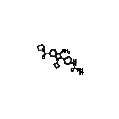 CC(C)NC(=O)Nc1ccc(-c2c(N)c3ccc(C(=O)N4CCCC4)cc3n2C2CCC2)cc1